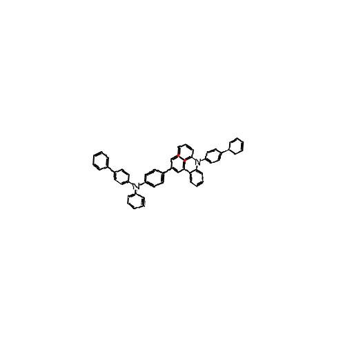 C1=CCC(c2ccc(N(c3ccccc3)c3ccccc3-c3cccc(-c4ccc(N(c5ccccc5)c5ccc(-c6ccccc6)cc5)cc4)c3)cc2)C=C1